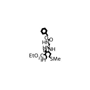 CCOC(=O)C(CC(C)C)C(=O)C(CCSC)NNCNC(=O)OCc1ccccc1